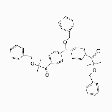 CC(C)(OCc1ccccc1)C(=O)c1ccc(C(OCc2ccccc2)c2ccc(C(=O)C(C)(C)OCc3ccccc3)cc2)cc1